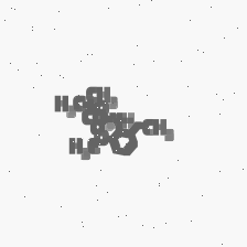 CCc1cccc(OC)c1NC(=O)OC(C)(C)C